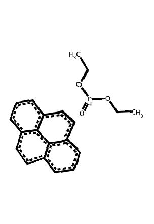 CCO[PH](=O)OCC.c1cc2ccc3cccc4ccc(c1)c2c34